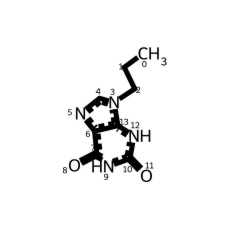 CCCn1cnc2c(=O)[nH]c(=O)[nH]c21